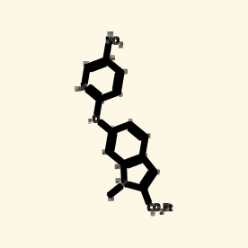 CCOC(=O)c1cc2ccc(Oc3ccc([N+](=O)[O-])cn3)cc2n1C